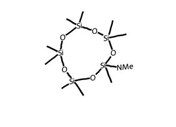 CN[Si]1(C)O[Si](C)(C)O[Si](C)(C)O[Si](C)(C)O[Si](C)(C)O1